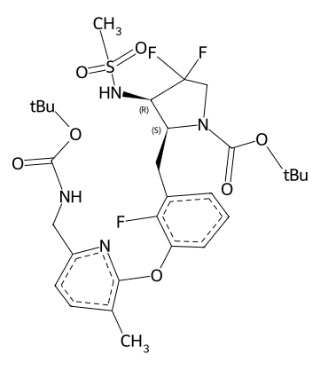 Cc1ccc(CNC(=O)OC(C)(C)C)nc1Oc1cccc(C[C@H]2[C@@H](NS(C)(=O)=O)C(F)(F)CN2C(=O)OC(C)(C)C)c1F